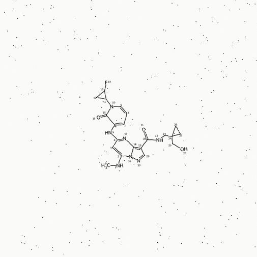 CNc1cc(Nc2cccn(C3CC3F)c2=O)nc2c(C(=O)NCC3(CO)CC3)cnn12